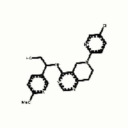 COc1ccc(C(CO)Nc2ncnc3c2CN(c2ccc(Cl)cn2)CC3)cn1